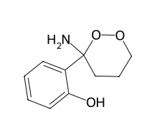 NC1(c2ccccc2O)CCCOO1